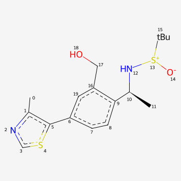 Cc1ncsc1-c1ccc([C@H](C)N[S+]([O-])C(C)(C)C)c(CO)c1